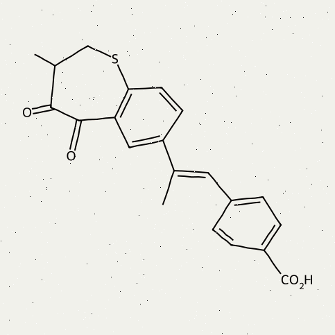 CC(=Cc1ccc(C(=O)O)cc1)c1ccc2c(c1)C(=O)C(=O)C(C)CS2